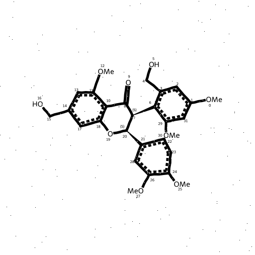 COc1cc(CO)c([C@@H]2C(=O)c3c(OC)cc(CO)cc3O[C@@H]2c2ccc(OC)c(OC)c2)c(OC)c1